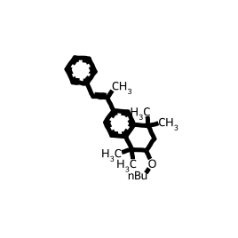 CCCCOC1CC(C)(C)c2cc(C(C)=Cc3ccccc3)ccc2C1(C)C